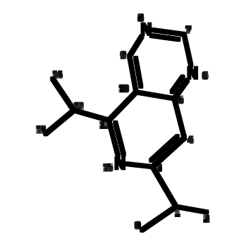 CC(C)c1cc2ncncc2c(C(C)C)n1